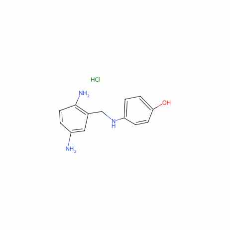 Cl.Nc1ccc(N)c(CNc2ccc(O)cc2)c1